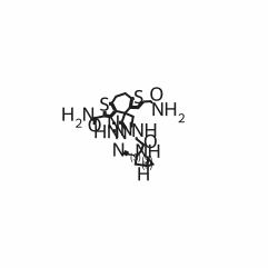 N#C[C@@H]1C[C@@H]2C[C@@H]2N1C(=O)CNCCC1(c2nn[nH]n2)c2cc(C(N)=O)sc2CCc2sc(C(N)=O)cc21